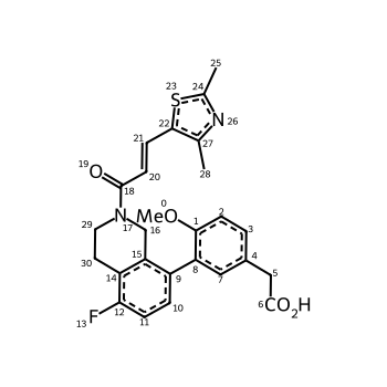 COc1ccc(CC(=O)O)cc1-c1ccc(F)c2c1CN(C(=O)C=Cc1sc(C)nc1C)CC2